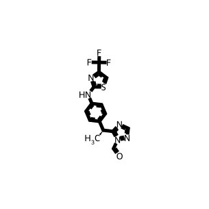 C[C@H](c1ccc(Nc2nc(C(F)(F)F)cs2)cc1)c1ncnn1C=O